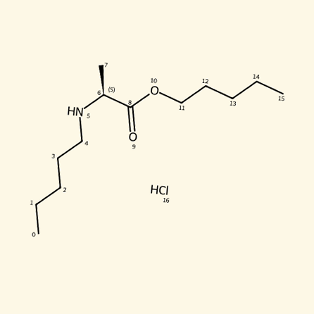 CCCCCN[C@@H](C)C(=O)OCCCCC.Cl